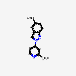 CC(=O)Nc1ccc2nn(-c3ccnc(C(=O)O)c3)cc2c1